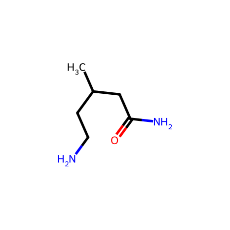 CC(CCN)CC(N)=O